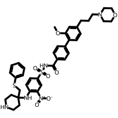 COc1cc(CCCN2CCOCC2)ccc1-c1ccc(C(=O)NS(=O)(=O)c2ccc(NC3(CSc4ccccc4)CCNCC3)c([N+](=O)[O-])c2)cc1